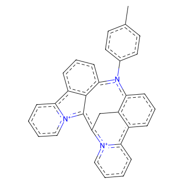 Cc1ccc(-n2c3cccc4c3Cc(c3[n+]5ccccc5c5cccc2c5-3)[n+]2ccccc42)cc1